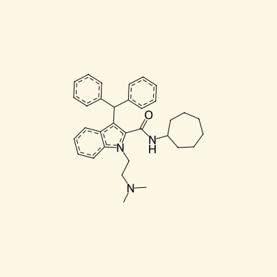 CN(C)CCn1c(C(=O)NC2CCCCCC2)c(C(c2ccccc2)c2ccccc2)c2ccccc21